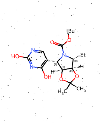 CC[C@@H]1[C@H]2OC(C)(C)O[C@H]2[C@H](c2cnc(O)nc2O)N1C(=O)OC(C)(C)C